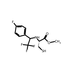 COC(=O)[C@H](CS)NC(c1ccc(F)cc1)C(F)(F)F